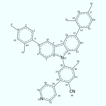 Cc1ccc(-c2ccc3c(c2)c2cc(-c4ccc(C)cc4C)ccc2n3-c2cc(-c3ccncc3)c(C#N)cc2C)c(C)c1